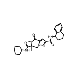 CN1C(=O)c2cc(C(=O)NC3CCCc4ccccc43)nn2CC1(C)C(=O)NC1CCCCC1